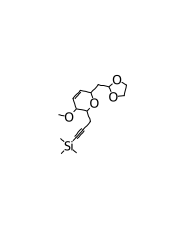 COC1C=CC(CC2OCCO2)OC1CC#C[Si](C)(C)C